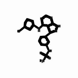 CS(=O)(=O)Nc1cccc(-c2n[nH]c3ncnc(Nc4cccc(Cl)c4)c23)c1